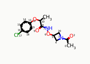 CC(=O)N1CC(ONC(=O)C(C)Oc2ccc(Cl)cc2)C1